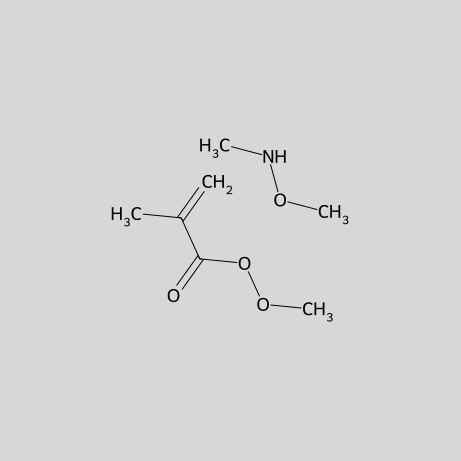 C=C(C)C(=O)OOC.CNOC